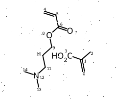 C=C(C)C(=O)O.C=CC(=O)OCCCN(C)C